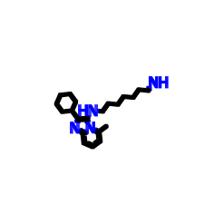 Cc1cccc2nc(C3CCCCC3)c(NCCCCCCC=N)n12